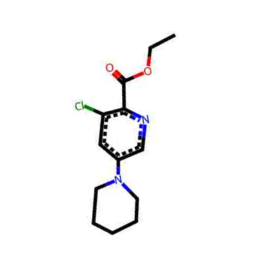 CCOC(=O)c1ncc(N2CCCCC2)cc1Cl